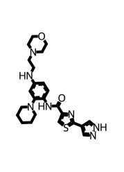 O=C(Nc1ccc(NCCN2CCOCC2)cc1N1CCCCC1)c1csc(-c2cn[nH]c2)n1